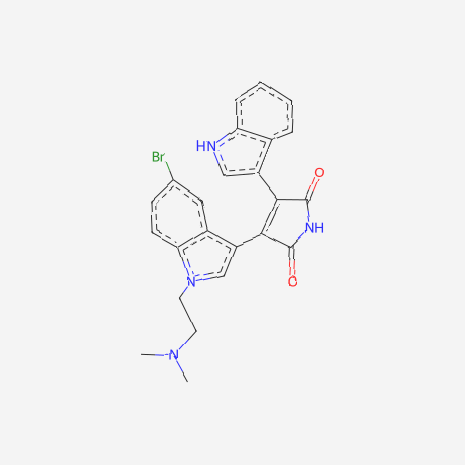 CN(C)CCn1cc(C2=C(c3c[nH]c4ccccc34)C(=O)NC2=O)c2cc(Br)ccc21